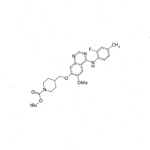 COc1cc2c(Nc3ccc(C)cc3F)ncnc2cc1OCC1CCN(C(=O)OC(C)(C)C)CC1